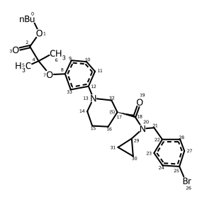 CCCCOC(=O)C(C)(C)Oc1cccc(N2CCC[C@H](C(=O)N(Cc3ccc(Br)cc3)C3CC3)C2)c1